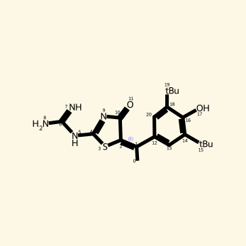 C/C(=C1\SC(NC(=N)N)=NC1=O)c1cc(C(C)(C)C)c(O)c(C(C)(C)C)c1